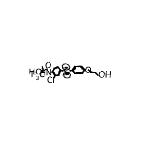 CC(O)(C(=O)Nc1ccc(S(=O)(=O)c2ccc(OCCCO)cc2)cc1Cl)C(F)(F)F